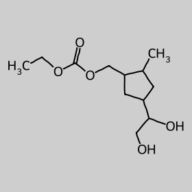 CCOC(=O)OCC1CC(C(O)CO)CC1C